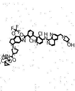 Cc1c(-c2nc3cc4c(c(OC(F)(F)F)c3o2)CC[C@H]4N2CC[C@@H](C(=O)NS(=O)(=O)C3(C)CC3)C2)cccc1-c1cccc(Nc2nccc3cc(CN4CC[C@@H](O)C4)cnc23)c1Cl